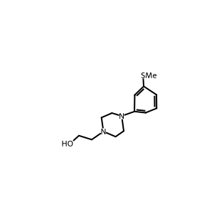 CSc1cccc(N2CCN(CCO)CC2)c1